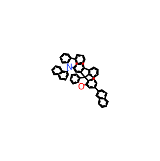 c1ccc(-c2ccccc2N(c2ccc3c(c2)C2(c4ccccc4Oc4cc(-c5ccc6ccccc6c5)ccc42)c2ccccc2-3)c2cccc3ccccc23)cc1